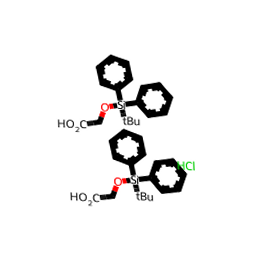 CC(C)(C)[Si](OCC(=O)O)(c1ccccc1)c1ccccc1.CC(C)(C)[Si](OCC(=O)O)(c1ccccc1)c1ccccc1.Cl